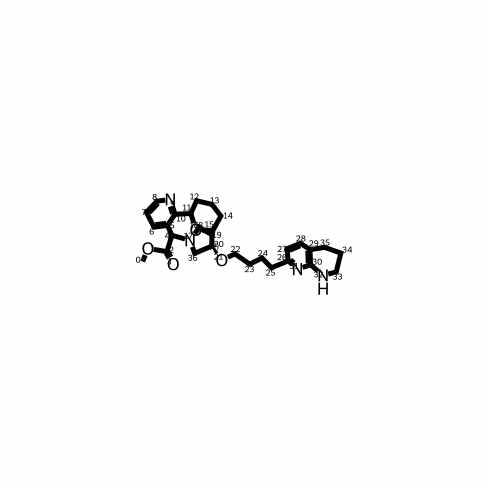 COC(=O)C(c1cccnc1C1CCCCO1)N1CC[C@@H](OCCCCc2ccc3c(n2)NCCC3)C1